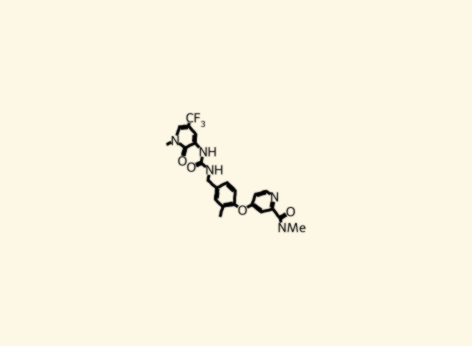 CNC(=O)c1cc(Oc2ccc(CNC(=O)Nc3cc(C(F)(F)F)cn(C)c3=O)cc2C)ccn1